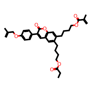 C=C(C)COc1ccc(-c2cc3cc(CCCCOC(=O)CC)c(CCCCOC(=O)C(=C)C)cc3oc2=O)cc1